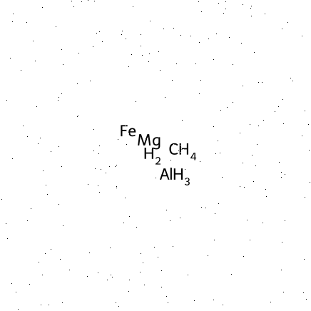 C.[AlH3].[Fe].[MgH2]